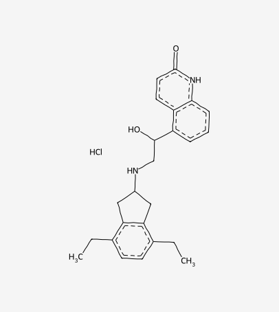 CCc1ccc(CC)c2c1CC(NCC(O)c1cccc3[nH]c(=O)ccc13)C2.Cl